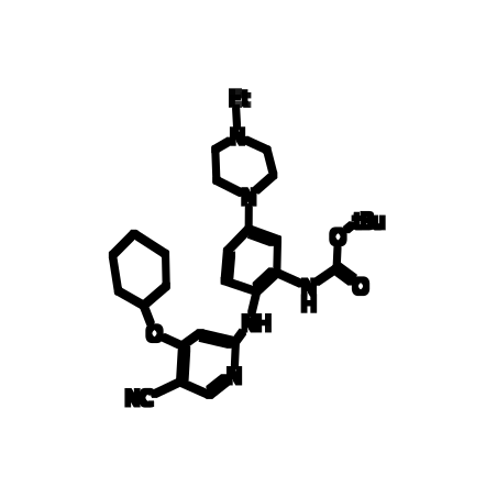 CCN1CCN(c2ccc(Nc3cc(OC4CCCCC4)c(C#N)cn3)c(NC(=O)OC(C)(C)C)c2)CC1